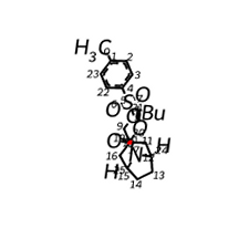 Cc1ccc(S(=O)(=O)OCC2C[C@H]3CC[C@@H](C2)N3C(=O)OC(C)(C)C)cc1